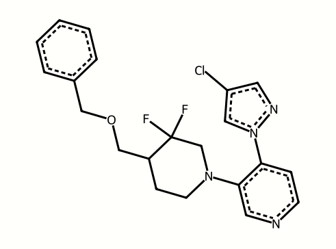 FC1(F)CN(c2cnccc2-n2cc(Cl)cn2)CCC1COCc1ccccc1